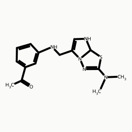 CC(=O)c1cccc(NCC2=CNC3SC(N(C)C)=NN23)c1